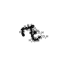 Cc1c(-c2ccc(N3CCn4cnc(C(=O)Nc5nc6ccccc6s5)c4C3)nc2C(=O)O)cnn1CC1(CCOCCNC(=O)OCc2ccc(NC(=O)[C@H](C)NC(=O)[C@@H](NC(=O)CNC(=O)CCC(=O)O)C(C)C)cc2CC[C@@H]2O[C@H](C(=O)O)[C@@H](O)[C@H](O)[C@H]2O)CC2(C)CCCC(C)(C2)C1